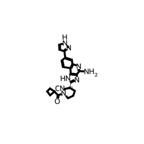 N#CC1(C(=O)N2CCC[C@@H](c3nc4c(N)nc5cc(-c6cc[nH]n6)ccc5c4[nH]3)C2)CCC1